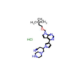 C[Si](C)(C)CCOCn1ccc2c(-c3ccn(C(CC#N)CN4CCNCC4)c3)ncnc21.Cl